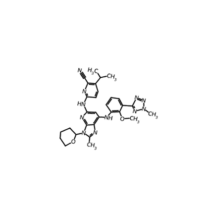 COc1c(Nc2cc(Nc3ccc(C(C)C)c(C#N)n3)nc3c2nc(C)n3C2CCCCO2)cccc1-c1nnn(C)n1